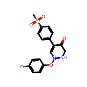 CS(=O)(=O)c1ccc(C2=CN(Oc3ccc(F)cc3)NCC2=O)cc1